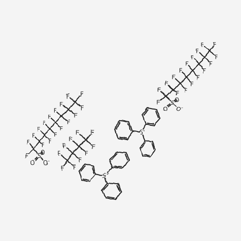 FC(F)(F)C(F)(F)C(F)(F)C(F)(F)F.O=S(=O)([O-])C(F)(F)C(F)(F)C(F)(F)C(F)(F)C(F)(F)C(F)(F)C(F)(F)C(F)(F)F.O=S(=O)([O-])C(F)(F)C(F)(F)C(F)(F)C(F)(F)C(F)(F)C(F)(F)C(F)(F)C(F)(F)F.c1ccc([S+](c2ccccc2)c2ccccc2)cc1.c1ccc([S+](c2ccccc2)c2ccccc2)cc1